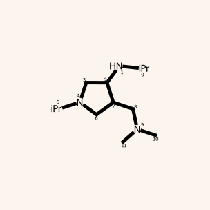 CC(C)NC1CN(C(C)C)CC1CN(C)C